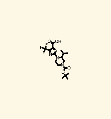 CC(C)C1CN(C(=O)OC(C)(C)C)CCN1c1nc(C(F)(F)F)c(C(=O)O)s1